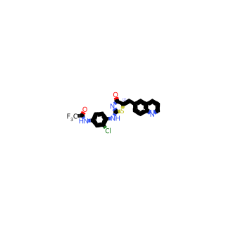 O=C1N=C(Nc2ccc(NC(=O)C(F)(F)F)cc2Cl)S/C1=C\c1ccc2ncccc2c1